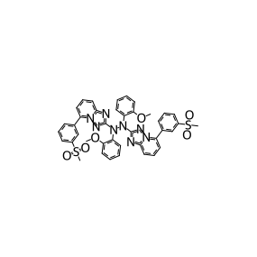 COc1ccccc1N(c1nc2cccc(-c3cccc(S(C)(=O)=O)c3)n2n1)N(c1nc2cccc(-c3cccc(S(C)(=O)=O)c3)n2n1)c1ccccc1OC